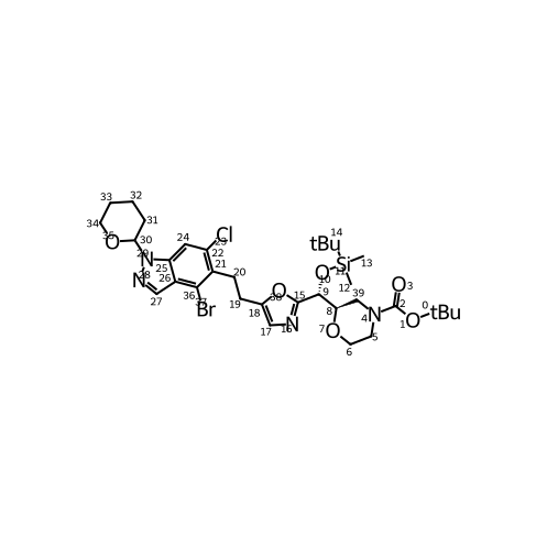 CC(C)(C)OC(=O)N1CCO[C@@H]([C@@H](O[Si](C)(C)C(C)(C)C)c2ncc(CCc3c(Cl)cc4c(cnn4C4CCCCO4)c3Br)o2)C1